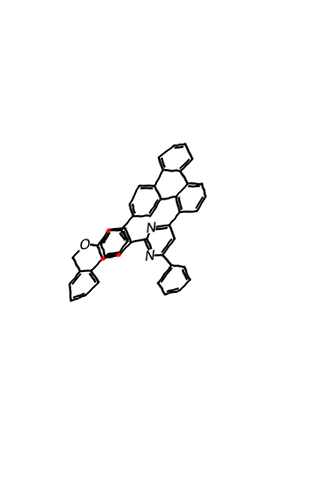 c1ccc(-c2cc(-c3cccc4c5ccccc5c5ccc(-c6ccc7c(c6)OCc6ccccc6-7)cc5c34)nc(-c3ccccc3)n2)cc1